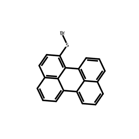 BrSc1ccc2cccc3c4cccc5cccc(c1c23)c54